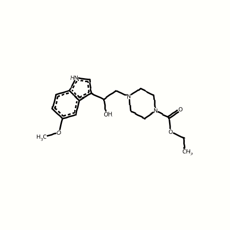 CCOC(=O)N1CCN(CC(O)c2c[nH]c3ccc(OC)cc23)CC1